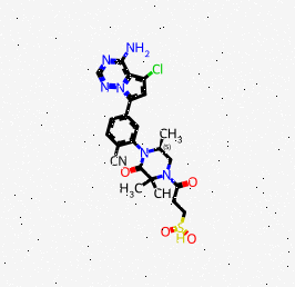 C[C@H]1CN(C(=O)CC[SH](=O)=O)C(C)(C)C(=O)N1c1cc(-c2cc(Cl)c3c(N)ncnn23)ccc1C#N